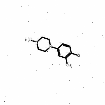 Cc1cc(N2CCN(C)CC2)ccc1Cl